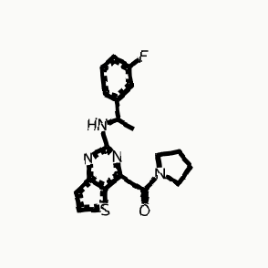 CC(Nc1nc(C(=O)N2CCCC2)c2sccc2n1)c1cccc(F)c1